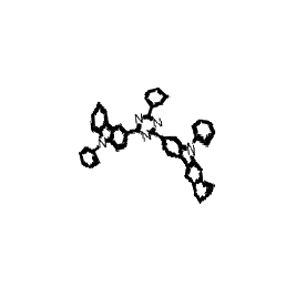 c1ccc(-c2nc(-c3ccc4c(c3)c3ccccc3n4-c3ccccc3)nc(-c3ccc4c5cc6ccccc6cc5n(-c5ccccc5)c4c3)n2)cc1